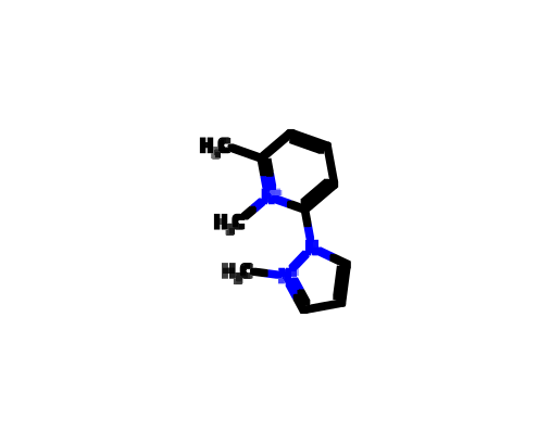 Cc1cccc(-n2ccc[n+]2C)[n+]1C